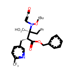 CC(C)C[C@@](C(=O)O)([C@@H](Cc1ccc(C(F)(F)F)nc1)C(=O)OCc1ccccc1)N(C=C=O)OC(C)(C)C